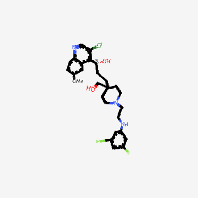 COc1ccc2ncc(Cl)c([C@H](O)CCC3(CO)CCN(CCNc4cc(F)cc(F)c4)CC3)c2c1